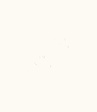 CC1(C)CC(CNc2nc(F)ccc2F)CCO1